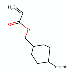 C=CC(=O)OCC1CCC(CCCCCCC)CC1